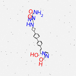 C[C@H](O)c1nccn1[C@@H](/C=C/c1ccc(-c2ccc(C3CC(NCc4noc(C(N)=O)n4)C3)cc2)cc1)CO